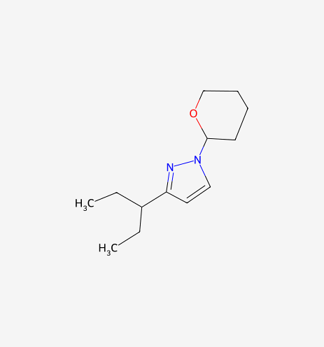 CCC(CC)c1ccn(C2CCCCO2)n1